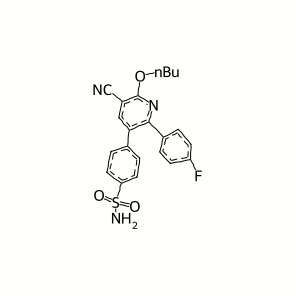 CCCCOc1nc(-c2ccc(F)cc2)c(-c2ccc(S(N)(=O)=O)cc2)cc1C#N